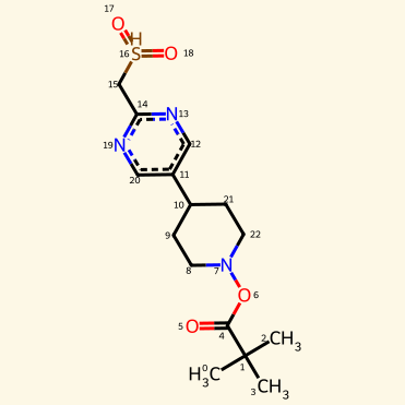 CC(C)(C)C(=O)ON1CCC(c2cnc(C[SH](=O)=O)nc2)CC1